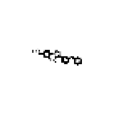 O=C1N(c2cccc(Cc3ccccc3)c2)CCN1c1ccc(CO)cc1F